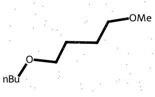 CCCCOCCCCOC